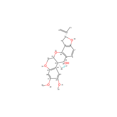 C=C(C)[C@H]1Cc2c(ccc3c2OC2COc4cc(OC)c(OC)cc4[C@]2(CF)C3O)O1